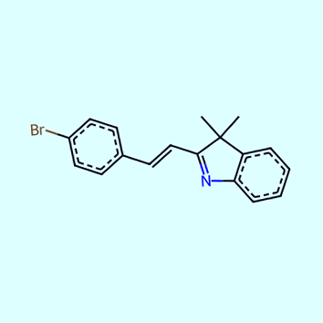 CC1(C)C(C=Cc2ccc(Br)cc2)=Nc2ccccc21